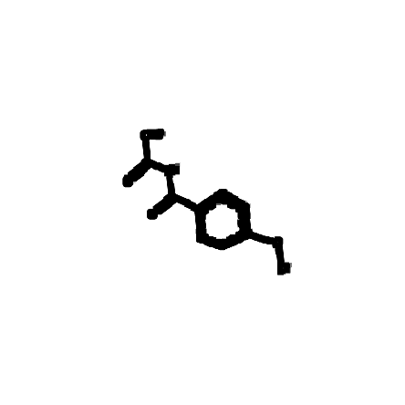 CCOc1ccc(C(=O)NC(=O)[C]=O)cc1